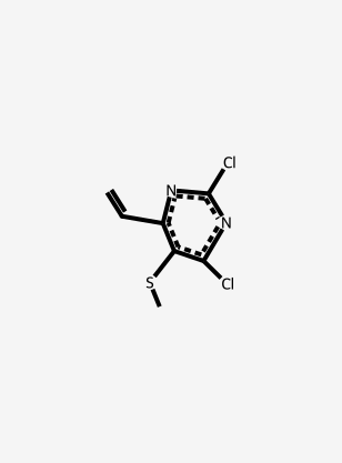 C=Cc1nc(Cl)nc(Cl)c1SC